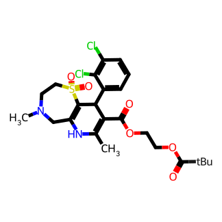 CC1=C(C(=O)OCCOC(=O)C(C)(C)C)C(c2cccc(Cl)c2Cl)C2=C(CN(C)CCS2(=O)=O)N1